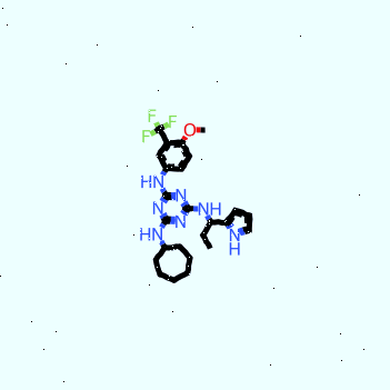 CCC(Nc1nc(Nc2ccc(OC)c(C(F)(F)F)c2)nc(NC2CCCCCC2)n1)c1ccc[nH]1